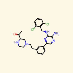 CC(=O)C1CN(CCc2cccc(-c3cnc(N)c(NCc4c(Cl)cccc4Cl)n3)c2)CCN1